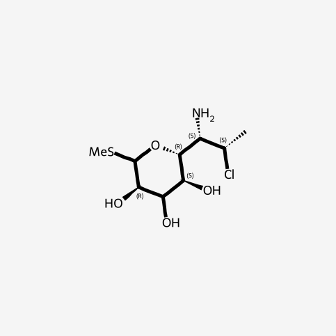 CSC1O[C@H]([C@H](N)[C@H](C)Cl)[C@@H](O)C(O)[C@H]1O